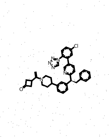 C=C(C1CC(=O)C1)N1CCC(c2cccc([C@H](Cc3ccccc3)c3ccc(-c4cc(Cl)ccc4-n4cnnn4)cn3)c2)CC1